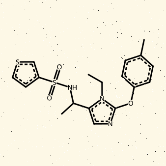 CCn1c(C(C)NS(=O)(=O)c2ccsc2)cnc1Oc1ccc(C)cc1